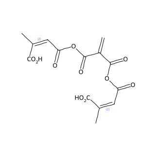 C=C(C(=O)OC(=O)/C=C(/C)C(=O)O)C(=O)OC(=O)/C=C(/C)C(=O)O